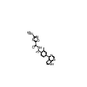 Cc1cc(-c2ncnc3[nH][c]cc23)ccc1[C@@H](C)NC(=O)c1nc(C(C)(C)C)no1